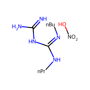 CCCC/N=C(/NCCC)NC(=N)N.O=[N+]([O-])O